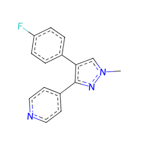 Cn1cc(-c2ccc(F)cc2)c(-c2ccncc2)n1